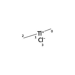 [CH3][Tl+][CH3].[Cl-]